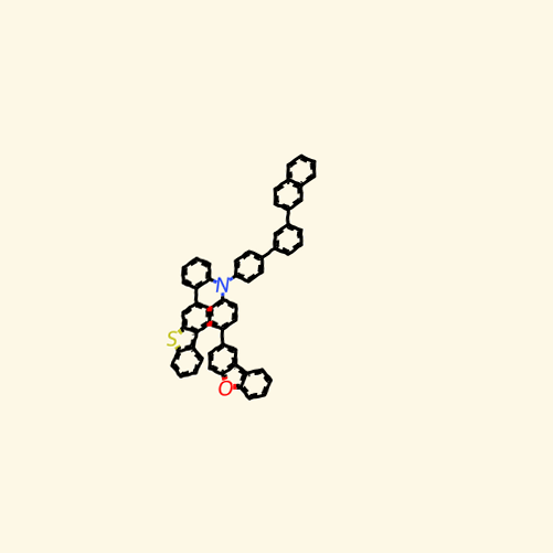 c1cc(-c2ccc(N(c3ccc(-c4ccc5oc6ccccc6c5c4)cc3)c3ccccc3-c3ccc4c(c3)sc3ccccc34)cc2)cc(-c2ccc3ccccc3c2)c1